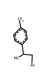 CC(=O)CC(C#N)c1ccc(C(F)(F)F)cc1